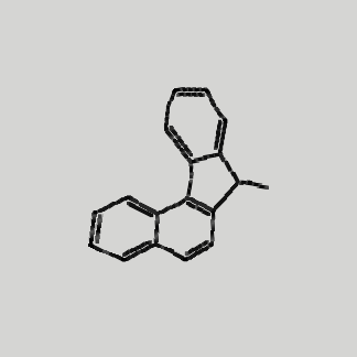 CC1c2ccccc2-c2c1ccc1ccccc21